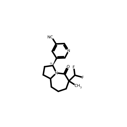 CC1(C(F)F)CCCC2CC[C@@H](c3cncc(C#N)c3)N2C1=O